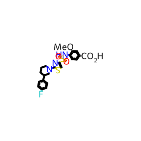 COc1cc(C(=O)O)ccc1NS(=O)(=O)c1csc(N2CCCC(c3ccc(F)cc3)C2)n1